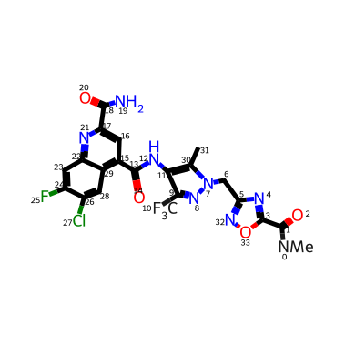 CNC(=O)c1nc(Cn2nc(C(F)(F)F)c(NC(=O)c3cc(C(N)=O)nc4cc(F)c(Cl)cc34)c2C)no1